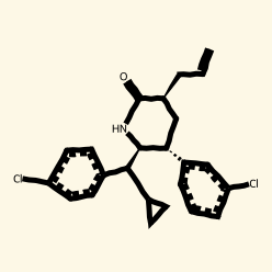 C=CC[C@H]1C[C@H](c2cccc(Cl)c2)[C@@H](C(c2ccc(Cl)cc2)C2CC2)NC1=O